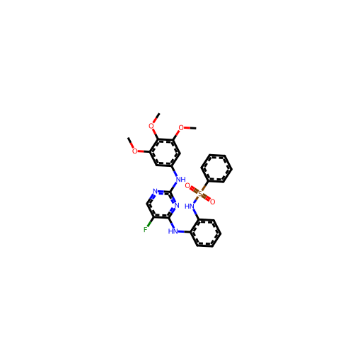 COc1cc(Nc2ncc(F)c(Nc3ccccc3NS(=O)(=O)c3ccccc3)n2)cc(OC)c1OC